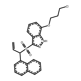 C=CC(c1cccc2ccccc12)S(=O)(=O)c1n[nH]c2c(OCCCCl)cccc12